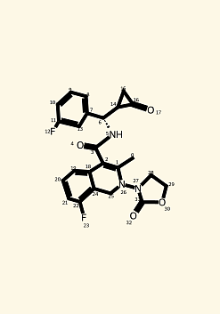 CC1=C(C(=O)N[C@H](c2cccc(F)c2)C2CC2=O)c2cccc(F)c2CN1N1CCOC1=O